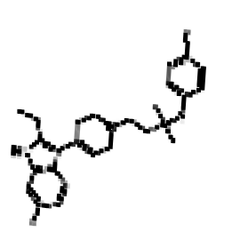 CCc1[nH]c2cc(F)ccc2c1C1=CCN(CCC(C)(C)Sc2ccc(F)cc2)CC1